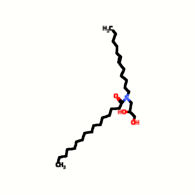 CCCCC/C=C/CCCCCN(CC(O)CO)C(=O)CCCCCCCCCCCCCCC